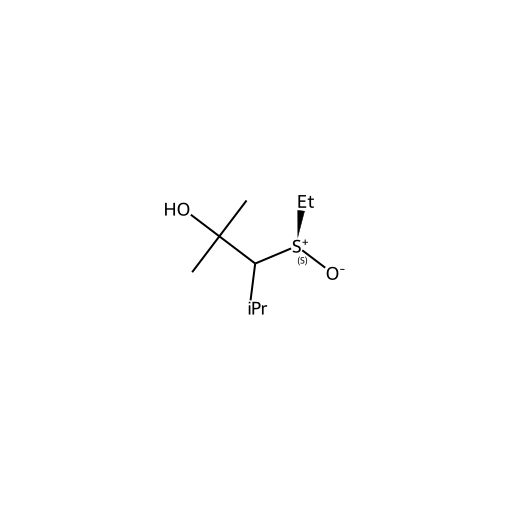 CC[S@@+]([O-])C(C(C)C)C(C)(C)O